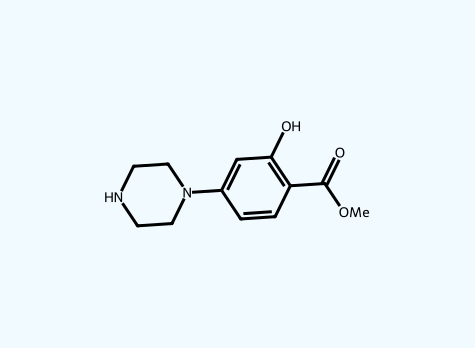 COC(=O)c1ccc(N2CCNCC2)cc1O